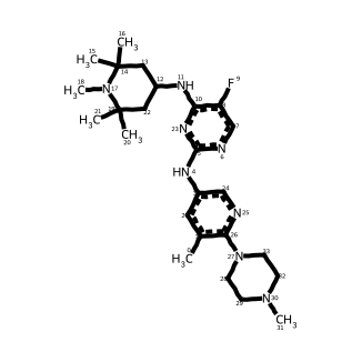 Cc1cc(Nc2ncc(F)c(NC3CC(C)(C)N(C)C(C)(C)C3)n2)cnc1N1CCN(C)CC1